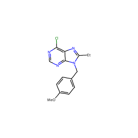 CCc1nc2c(Cl)ncnc2n1Cc1ccc(OC)cc1